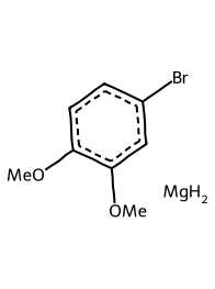 COc1ccc(Br)cc1OC.[MgH2]